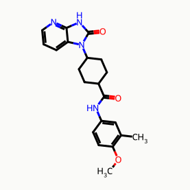 COc1ccc(NC(=O)C2CCC(n3c(=O)[nH]c4ncccc43)CC2)cc1C